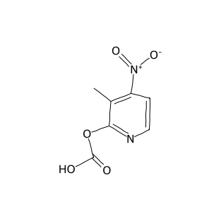 Cc1c([N+](=O)[O-])ccnc1OC(=O)O